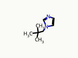 CC(C)(C)Cn1ccnc1